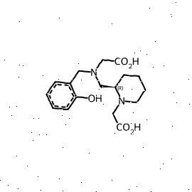 O=C(O)CN(Cc1ccccc1O)C[C@H]1CCCCN1CC(=O)O